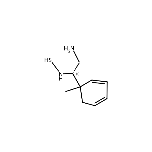 CC1([C@@H](CN)NS)C=CC=CC1